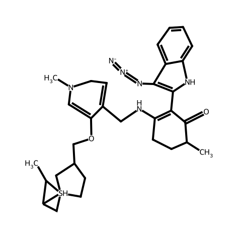 CC1CCC(NCC2=CCN(C)C=C2OCC2CC[SH]34(C2)CC3C4C)=C(c2[nH]c3ccccc3c2N=[N+]=[N-])C1=O